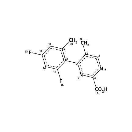 Cc1cnc(C(=O)O)nc1-c1c(C)cc(F)cc1F